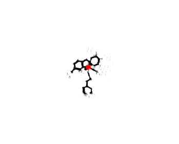 C[C@H]1[C@H](C)C[C@@]2(Cc3ccc(C#N)cc3[C@]23N=C(N)N(CCc2ccncc2)C3=O)C[C@@H]1C